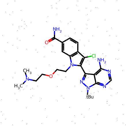 CN(C)CCOCCn1c(-c2nn(C(C)(C)C)c3ncnc(N)c23)c(Cl)c2ccc(C(N)=O)cc21